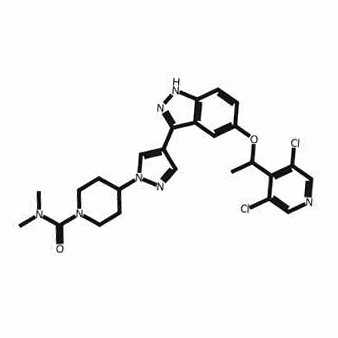 CC(Oc1ccc2[nH]nc(-c3cnn(C4CCN(C(=O)N(C)C)CC4)c3)c2c1)c1c(Cl)cncc1Cl